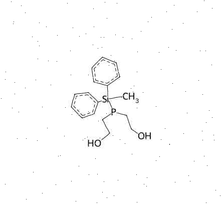 C[Si](c1ccccc1)(c1ccccc1)P(CCO)CCO